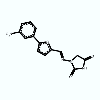 O=C1CN(N=Cc2ccc(-c3cccc([N+](=O)[O-])c3)o2)C(=O)N1